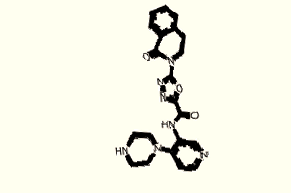 O=C(Nc1cnccc1N1CCNCC1)c1nnc(N2CCc3ccccc3C2=O)o1